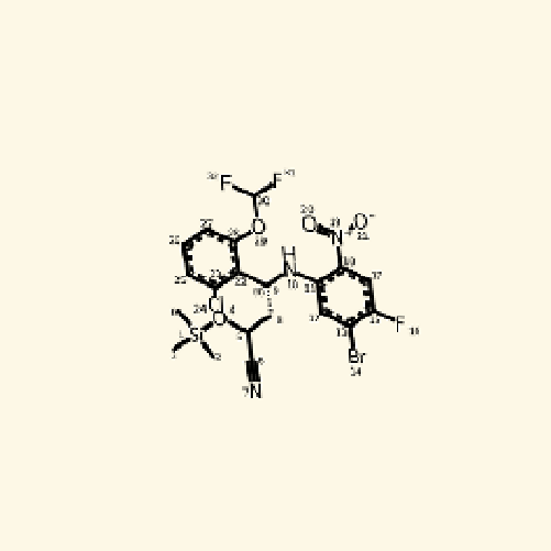 C[Si](C)(C)OC(C#N)C[C@@H](Nc1cc(Br)c(F)cc1[N+](=O)[O-])c1c(Cl)cccc1OC(F)F